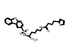 O=C(CCCc1cccs1)NCCCCC(NS(=O)(=O)c1ccc2oc3ccccc3c2c1)C(=O)O